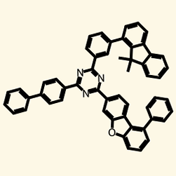 CC1(C)c2ccccc2-c2cccc(-c3cccc(-c4nc(-c5ccc(-c6ccccc6)cc5)nc(-c5ccc6c(c5)oc5cccc(-c7ccccc7)c56)n4)c3)c21